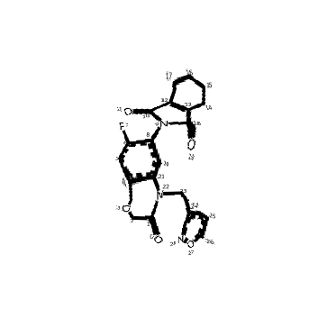 O=C1COc2cc(F)c(N3C(=O)C4=C(CCCC4)C3=O)cc2N1Cc1ccon1